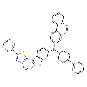 c1ccc(-c2ccc(N(c3ccc4c(ccc5ccccc54)c3)c3ccc4c(c3)oc3ccc5nc(-c6ccccc6)sc5c34)cc2)cc1